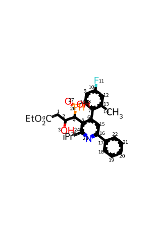 CCOC(=O)CC(O)C(c1c(-c2ccc(F)cc2C)cc(-c2ccccc2)nc1C(C)C)[PH](=O)O